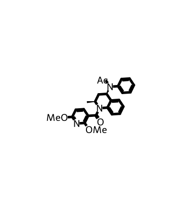 COc1ccc(C(=O)N2c3ccccc3[C@H](N(C(C)=O)c3ccccc3)C[C@@H]2C)c(OC)n1